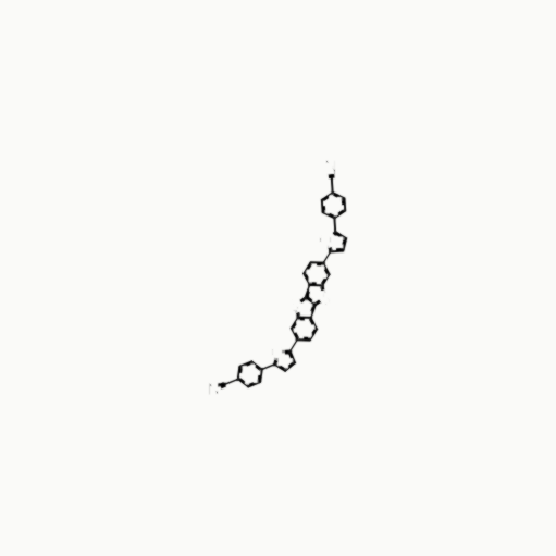 N#Cc1ccc(-c2ccc(-c3ccc4c(c3)sc3c5ccc(-c6ccc(-c7ccc(C#N)cc7)o6)cc5sc43)o2)cc1